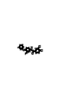 O=C(Nc1ccc(Oc2ccccc2)c(F)c1)c1ccc(Cl)c(Cl)c1